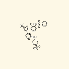 CC(C)(C)n1cc(-c2ccnc(NC3CCN(S(C)(=O)=O)CC3)n2)c(-c2cccc(NS(=O)(=O)c3ccccc3)c2F)n1